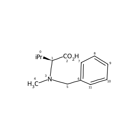 CC(C)[C@@H](C(=O)O)N(C)Cc1ccccc1